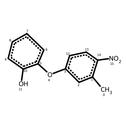 Cc1cc(Oc2ccccc2O)ccc1[N+](=O)[O-]